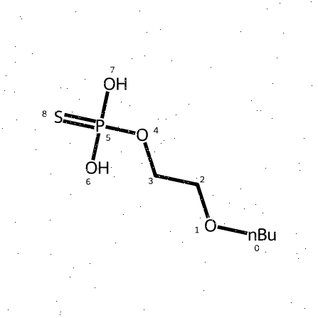 CCCCOCCOP(O)(O)=S